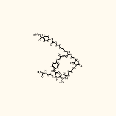 CCCNC(=O)c1ccc(OC(=O)OCCOCCNC(=O)CCSC2CC(=O)N(CCCCCC(=O)NC(C(=O)N[C@@H](CCCNC(N)=O)C(=O)Nc3ccc(COC(=O)NC)cc3)C(C)C)C2=O)cc1